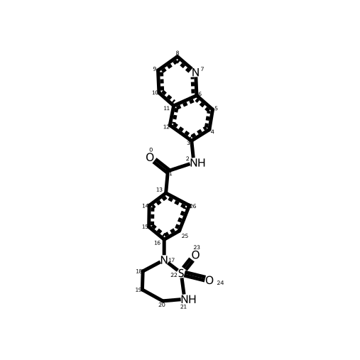 O=C(Nc1ccc2ncccc2c1)c1ccc(N2CCCNS2(=O)=O)cc1